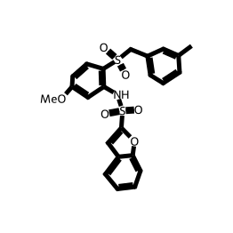 COc1ccc(S(=O)(=O)Cc2cccc(C)c2)c(NS(=O)(=O)c2cc3ccccc3o2)c1